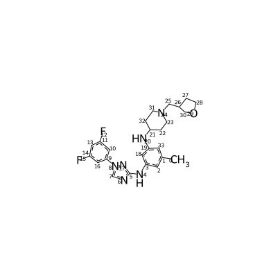 Cc1cc(Nc2ncn(-c3cc(F)cc(F)c3)n2)cc(NC2CCN(CC3CCOC3)CC2)c1